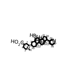 Br.CN1CCC(C(=O)O)CC1[C@H]1CC[C@@]2(C)C(=CC[C@@H]3[C@@H]2CC[C@]2(C)C(c4cccnc4)=CC[C@@H]32)C1